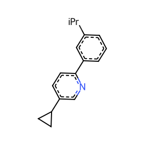 CC(C)c1cccc(-c2ccc(C3CC3)cn2)c1